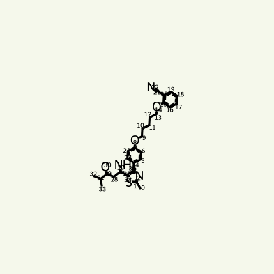 Cc1nc(-c2ccc(OCCCCCOc3ccccc3C#N)cc2)c(C(N)CC(=O)C(C)C)s1